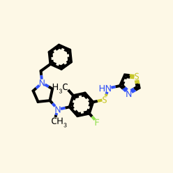 Cc1cc(SNc2cscn2)c(F)cc1N(C)C1CCN(Cc2ccccc2)C1